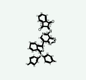 Cc1ccc(N(c2ccc(C)cc2)c2sc(-c3cnc(N=c4c(=O)c5ccccc5c4=O)c4nsnc34)c3ccccc23)cc1